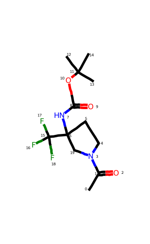 CC(=O)N1CCC(NC(=O)OC(C)(C)C)(C(F)(F)F)C1